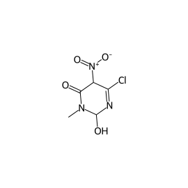 CN1C(=O)C([N+](=O)[O-])C(Cl)=NC1O